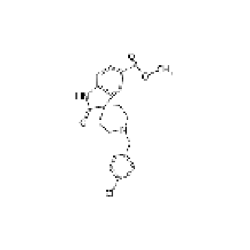 COC(=O)c1ccc2c(c1)C1(CCN(Cc3ccc(Cl)cc3)CC1)C(=O)N2